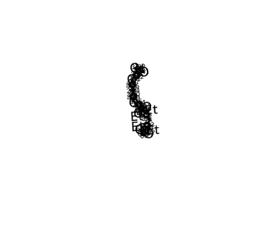 CCc1cc(Cc2cc(CC)c(N3C(=O)c4ccc(Oc5ccc(C(C)(C)c6ccc(Oc7ccc8c(c7)C(=O)N(C)C8=O)cc6)cc5)cc4C3=O)c(CC)c2)cc(CC)c1N1C(=O)C=CC1=O